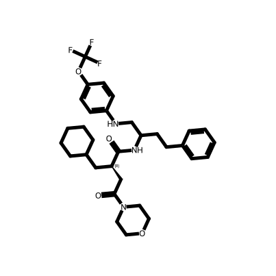 O=C(NC(CCc1ccccc1)CNc1ccc(OC(F)(F)F)cc1)[C@@H](CC(=O)N1CCOCC1)CC1CCCCC1